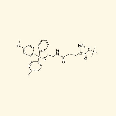 COc1ccc(C(SCCNC(=O)CC[C@H](N)C(=O)OC(C)(C)C)(c2ccccc2)c2ccc(C)cc2)cc1